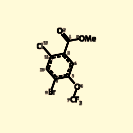 COC(=O)c1cc(OC(F)(F)F)c(Br)cc1Cl